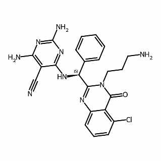 N#Cc1c(N)nc(N)nc1N[C@@H](c1ccccc1)c1nc2cccc(Cl)c2c(=O)n1CCCN